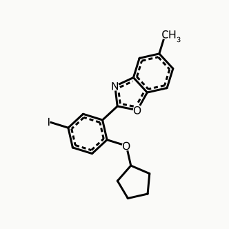 Cc1ccc2oc(-c3cc(I)ccc3OC3CCCC3)nc2c1